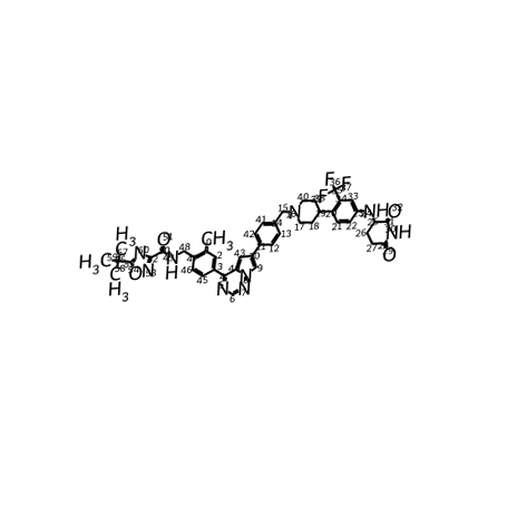 Cc1cc(-c2ncnn3cc(-c4ccc(CN5CCC(c6ccc(NC7CCC(=O)NC7=O)cc6C(F)(F)F)CC5)cc4)cc23)ccc1CNC(=O)c1noc(C(C)(C)C)n1